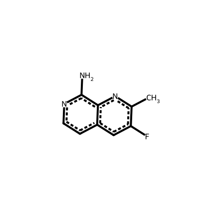 Cc1nc2c(N)nccc2cc1F